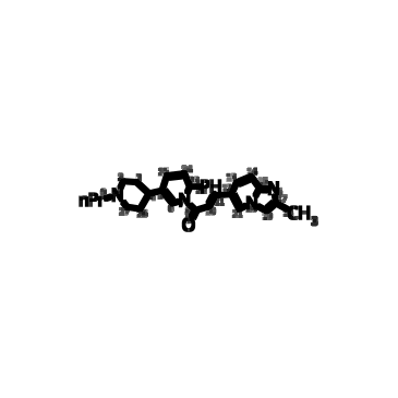 CCCN1CCC(C2=CN3C(=O)C=C(c4ccc5nc(C)cn5c4)PC3C=C2)CC1